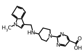 Cn1cc(CNC2CCN(c3ncc(C(=O)O)cn3)CC2)c2ccccc21